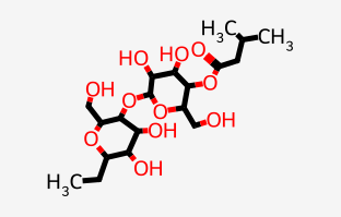 CCC1OC(CO)C(OC2OC(CO)C(OC(=O)CC(C)C)C(O)C2O)C(O)C1O